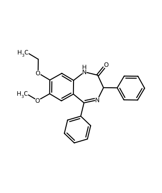 CCOc1cc2c(cc1OC)C(c1ccccc1)=NC(c1ccccc1)C(=O)N2